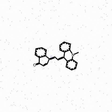 CN1c2ccccc2C(=C/C=C2\C=CC(=O)c3ccccc32)c2ccccc21